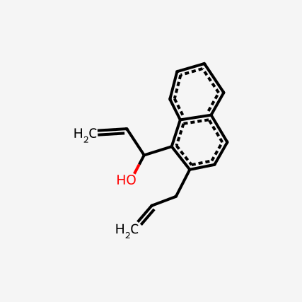 C=CCc1ccc2ccccc2c1C(O)C=C